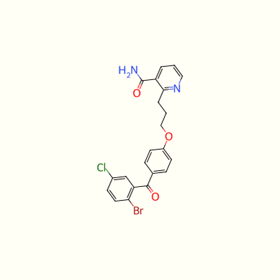 NC(=O)c1cccnc1CCCOc1ccc(C(=O)c2cc(Cl)ccc2Br)cc1